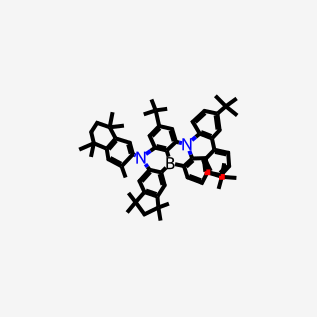 Cc1cc2c(cc1N1c3cc4c(cc3B3c5ccc(C(C)(C)C)cc5N(c5ccc(C(C)(C)C)cc5-c5ccccc5)c5cc(C(C)(C)C)cc1c53)C(C)(C)CC4(C)C)C(C)(C)CCC2(C)C